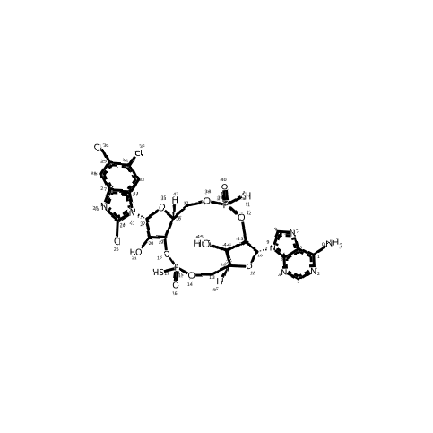 Nc1ncnc2c1ncn2[C@@H]1O[C@@H]2COP(=O)(S)OC3C(O)[C@H](n4c(Cl)nc5cc(Cl)c(Cl)cc54)O[C@@H]3COP(=O)(S)OC1C2O